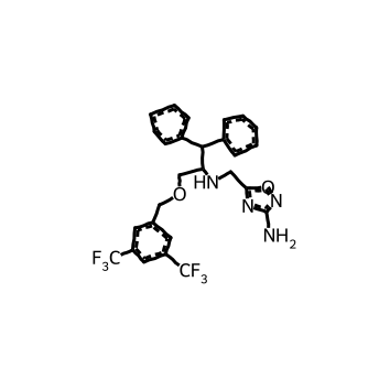 Nc1noc(CNC(COCc2cc(C(F)(F)F)cc(C(F)(F)F)c2)C(c2ccccc2)c2ccccc2)n1